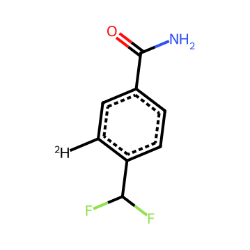 [2H]c1cc(C(N)=O)ccc1C(F)F